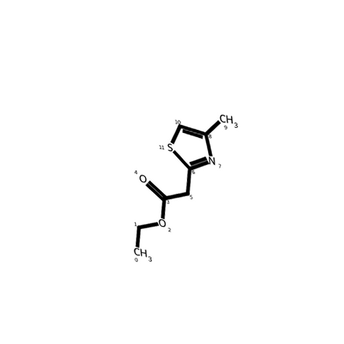 CCOC(=O)Cc1nc(C)cs1